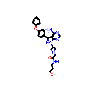 Nc1ncnc2c1c(-c1ccc(Oc3ccccc3)cc1)nn2C1CN(CC(=O)NCCCO)C1